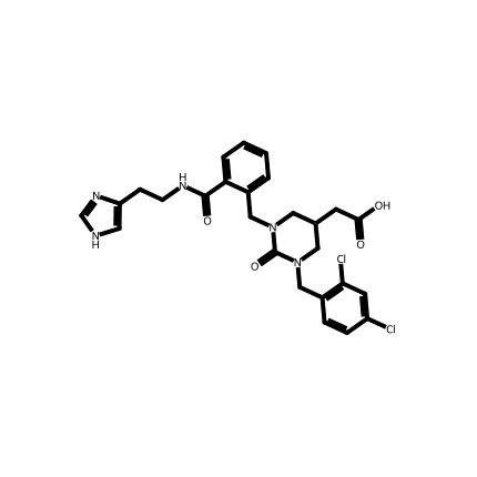 O=C(O)CC1CN(Cc2ccc(Cl)cc2Cl)C(=O)N(Cc2ccccc2C(=O)NCCc2c[nH]cn2)C1